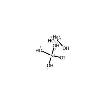 O=S(=O)(O)O.[Na+].[O-][Si](O)(O)O